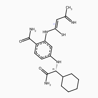 CC(=N)/C=C(\S)Nc1cc(N[C@@H](C(N)=O)C2CCCCC2)ccc1C(N)=O